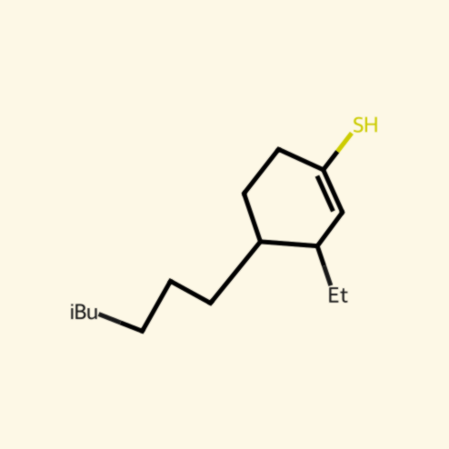 CCC(C)CCCC1CCC(S)=CC1CC